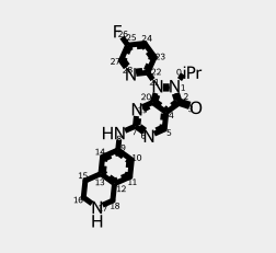 CC(C)n1c(=O)c2cnc(Nc3ccc4c(c3)CCNC4)nc2n1-c1ccc(F)cn1